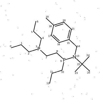 CCCP(CCC)CCP(CCC)N(Cc1ccc(C)cc1)C(C)(C)C